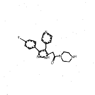 O=C(Cc1[nH]nc(-c2ccc(F)cc2)c1-c1ccncc1)N1CCNCC1